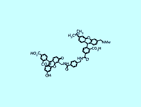 CNCc1ccc2c(-c3ccc(C(=O)NCc4ccc(C(=O)NCc5c6oc7cc(O)ccc7c(-c7ccc(C(=O)O)cc7C(=O)O)c-6ccc5=O)cc4)cc3C(=O)O)c3ccc(=[N+](C)C)cc-3oc2c1